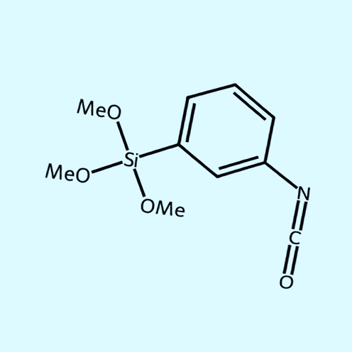 CO[Si](OC)(OC)c1cccc(N=C=O)c1